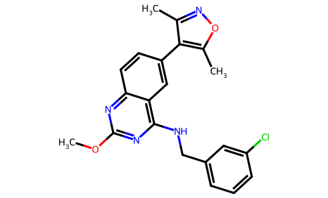 COc1nc(NCc2cccc(Cl)c2)c2cc(-c3c(C)noc3C)ccc2n1